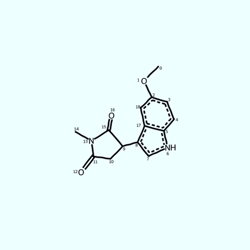 COc1ccc2[nH]cc(C3CC(=O)N(C)C3=O)c2c1